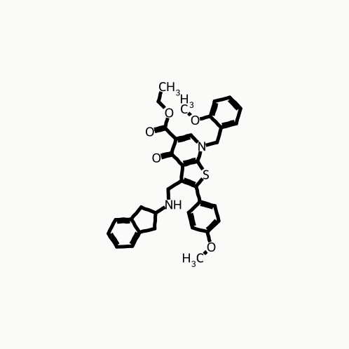 CCOC(=O)c1cn(Cc2ccccc2OC)c2sc(-c3ccc(OC)cc3)c(CNC3Cc4ccccc4C3)c2c1=O